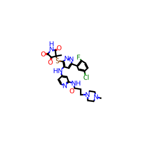 CN1CCN(CCC(=O)Nc2cc(Nc3cc(-c4cc(Cl)ccc4F)nnc3SC3(C)C(=O)NC(=O)C3=O)ccn2)CC1